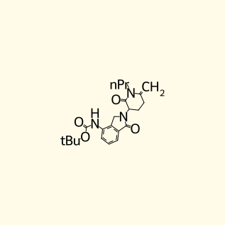 C=C1CCC(N2Cc3c(NC(=O)OC(C)(C)C)cccc3C2=O)C(=O)N1CCC